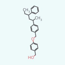 CCC(CC(C)c1ccc(COc2ccc(CO)cc2)cc1)c1ccccc1